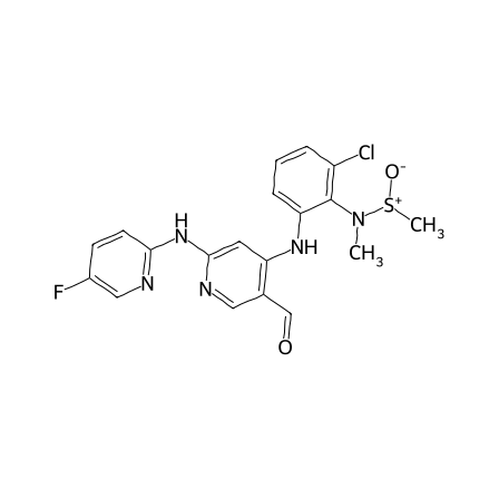 CN(c1c(Cl)cccc1Nc1cc(Nc2ccc(F)cn2)ncc1C=O)[S+](C)[O-]